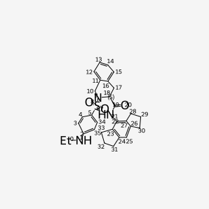 CCNc1ccc(S(=O)(=O)N2Cc3ccccc3C[C@H]2C(=O)Nc2c3c(cc4c2CCC4)CCC3)cc1